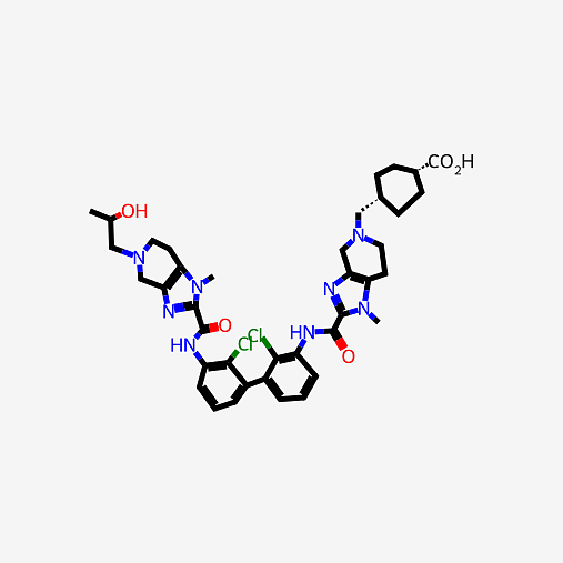 CC(O)CN1CCc2c(nc(C(=O)Nc3cccc(-c4cccc(NC(=O)c5nc6c(n5C)CCN(C[C@H]5CC[C@@H](C(=O)O)CC5)C6)c4Cl)c3Cl)n2C)C1